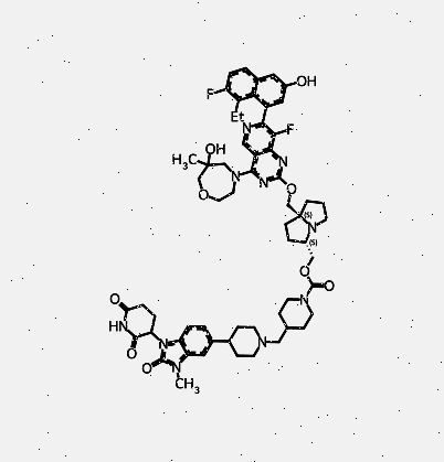 CCc1c(F)ccc2cc(O)cc(-c3ncc4c(N5CCOCC(C)(O)C5)nc(OC[C@@]56CCCN5[C@H](COC(=O)N5CCC(CN7CCC(c8ccc9c(c8)n(C)c(=O)n9C8CCC(=O)NC8=O)CC7)CC5)CC6)nc4c3F)c12